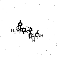 Cc1ccc(C(c2cc(F)c(Oc3ncccc3-c3ccnc(N[C@@H]4CNC[C@@](C)(F)C4)n3)c(C)c2F)S(N)(=O)=O)cc1